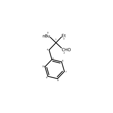 CCCCC(C=O)(CC)Cc1ccccc1